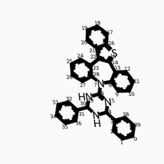 c1ccc(C2N=C(N3c4ccccc4-c4sc5ccccc5c4-c4ccccc43)NC(c3ccccc3)N2)cc1